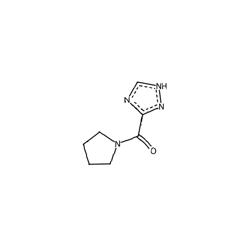 O=C(c1nc[nH]n1)N1CCCC1